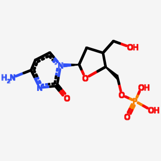 Nc1ccn([C@H]2CC(CO)[C@@H](COP(=O)(O)O)O2)c(=O)n1